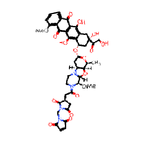 COc1cccc2c1C(=O)c1c(O)c3c(c(O)c1C2=O)C[C@@](O)(C(=O)CO)C[C@@H]3O[C@H]1C[C@H]2[C@H](O[C@@H]3[C@@H](OC)N(C(=O)CC4CC(=O)N(CN5C(=O)C=CC5=O)C4=O)CCN32)[C@H](C)O1